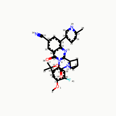 COc1ccc(-n2c(C34CC(CN3C(=O)OC(C)(C)C)C4)nc3c(-c4ccc(C)nc4)cc(C#N)cc3c2=O)cc1F